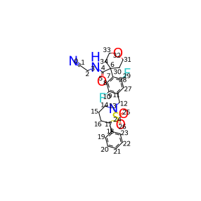 N#CCNC(=O)C1(c2cc(F)c(CN3CCC[C@H](c4ccccc4)S3(=O)=O)cc2F)CCOCC1